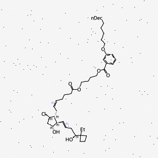 CCCCCCCCCCCCCCCOc1cccc(C(=O)OCCCCOC(=O)CCC/C=C\C[C@@H]2[C@@H](/C=C/C[C@H](O)C3(CC)CCC3)[C@H](O)C[C@H]2Cl)c1